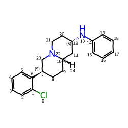 Clc1ccccc1[C@@H]1CC[C@H]2C[C@@H](Nc3ccccc3)CCN2C1